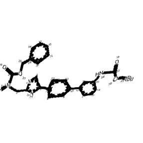 CCCN(Cc1ncc(-c2ccc(-c3cccc(NC(=O)OC(C)(C)C)c3)cc2)[nH]1)C(=O)OCc1ccccc1